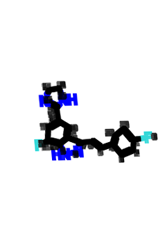 Fc1ccc(/C=C/c2n[nH]c3c(F)cc(C4=NCCN4)cc23)cc1